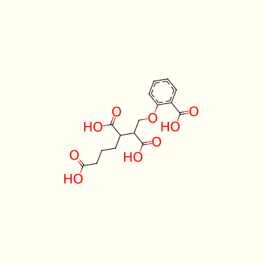 O=C(O)CCCC(C(=O)O)C(COc1ccccc1C(=O)O)C(=O)O